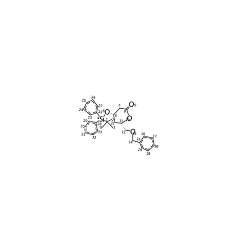 CC(C)(C)[Si](O[C@@H]1CC(=O)O[C@H](COCc2ccccc2)C1)(c1ccccc1)c1ccccc1